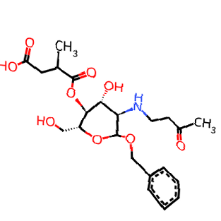 CC(=O)CCN[C@H]1C(OCc2ccccc2)O[C@H](CO)[C@@H](OC(=O)C(C)CC(=O)O)[C@@H]1O